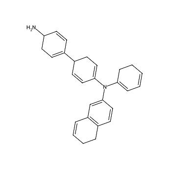 NC1C=CC(C2C=CC(N(C3=CC=CCC3)c3ccc4c(c3)C=CCC4)=CC2)=CC1